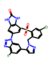 CS(=O)(=O)c1cc(Cl)ccc1Cn1nccc1-c1cc(F)c2nnn(-c3ccc4[nH]c(=O)[nH]c4c3)c2c1